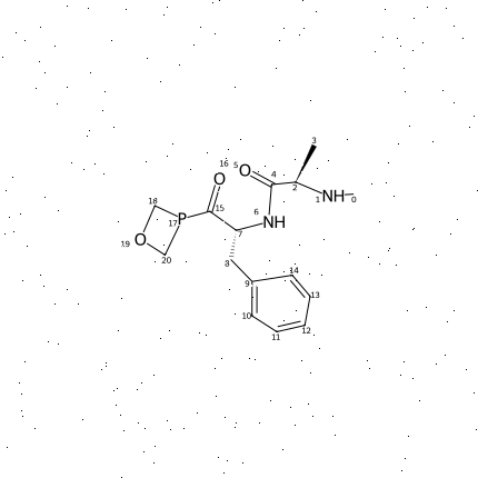 CN[C@H](C)C(=O)N[C@H](Cc1ccccc1)C(=O)P1COC1